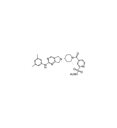 CC(=O)NS(=O)(=O)c1cc(C(=O)N2CC[C@@H](N3Cc4cnc(Nc5cc(C)cc(C)c5)nc4C3)C[C@H]2C)ccn1